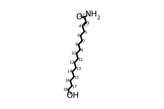 NC(=O)/C=C/CCCCCCCCCCCCCCO